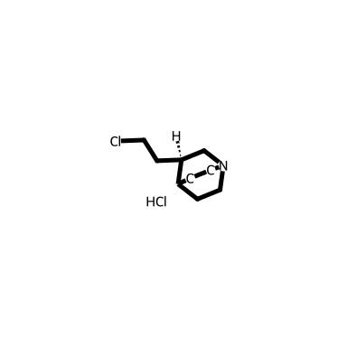 Cl.ClCC[C@H]1CN2CCC1CC2